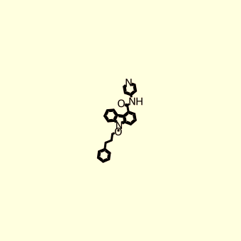 O=C(Nc1ccncc1)c1cccc2c1c1ccccc1n2OCCCc1ccccc1